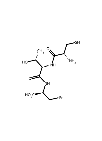 CC(C)C[C@H](NC(=O)[C@@H](NC(=O)[C@@H](N)CS)[C@@H](C)O)C(=O)O